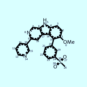 COc1ccc2[nH]c3cnc(-c4cccnc4)cc3c2c1-c1cccc(S(C)(=O)=O)c1